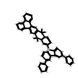 CC1(C)c2cc3c4ccccc4c4ccccc4c3cc2C(C)(C)C2C=C(n3c4ccc(-c5ccccc5)cc4c4cc(-c5ccccc5)ccc43)C=CC21